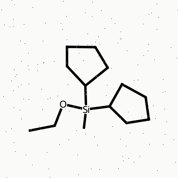 CCO[Si](C)(C1CCCC1)C1CCCC1